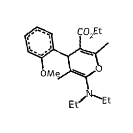 CCOC(=O)C1=C(C)OC(N(CC)CC)=C(C)C1c1ccccc1OC